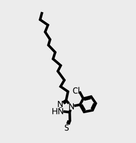 CCCCCCCCCCCCCC1=NNC(C=S)N1c1ccccc1Cl